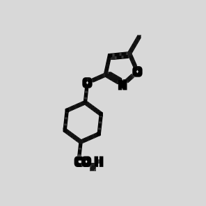 Cc1cc(OC2CCC(C(=O)O)CC2)no1